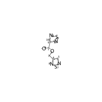 [O]C(OCc1cnsn1)c1cnsn1